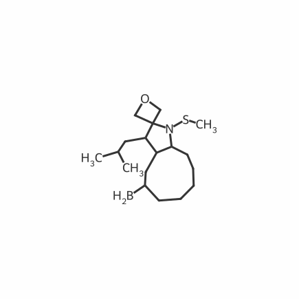 BC1CCCCCC2C(C1)C(CC(C)C)C1(COC1)N2SC